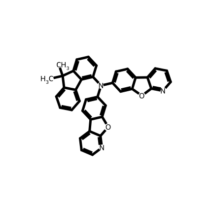 CC1(C)c2ccccc2-c2c(N(c3ccc4c(c3)oc3ncccc34)c3ccc4c(c3)oc3ncccc34)cccc21